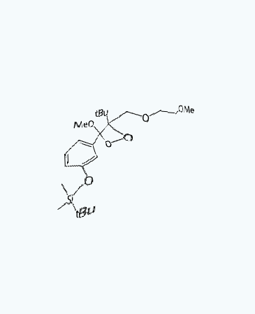 COCCOCC1(C(C)(C)C)OOC1(OC)c1cccc(O[Si](C)(C)C(C)(C)C)c1